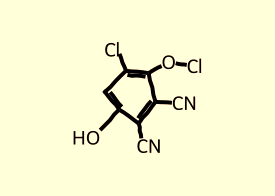 N#Cc1c(O)cc(Cl)c(OCl)c1C#N